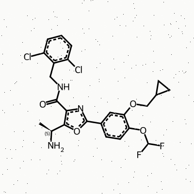 C[C@H](N)c1oc(-c2ccc(OC(F)F)c(OCC3CC3)c2)nc1C(=O)NCc1c(Cl)cccc1Cl